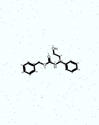 O=C(N[C@@H](CCO)c1ccccc1)OCc1ccccc1